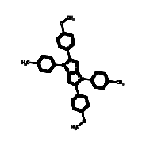 COc1ccc(-c2cc3c(cc(-c4ccc(OC)cc4)n3-c3ccc(C)cc3)n2-c2ccc(C)cc2)cc1